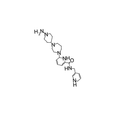 NN1CCC(N2CCCN(C3C=CC=C(C(=O)NCC4=CNCC=C4)N3)CC2)CC1